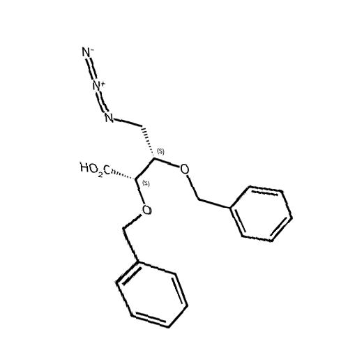 [N-]=[N+]=NC[C@H](OCc1ccccc1)[C@H](OCc1ccccc1)C(=O)O